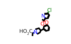 CC(C(=O)O)N1CCC(c2cccc3c2OC(C)(c2ccc(Cl)cn2)O3)CC1